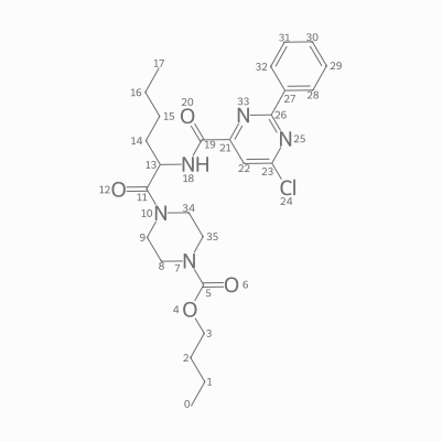 CCCCOC(=O)N1CCN(C(=O)C(CCCC)NC(=O)c2cc(Cl)nc(-c3ccccc3)n2)CC1